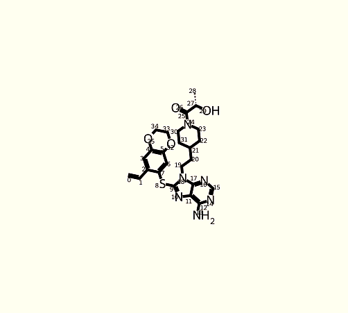 C=Cc1cc2c(cc1Sc1nc3c(N)ncnc3n1CCC1CCN(C(=O)[C@H](C)O)CC1)OCCO2